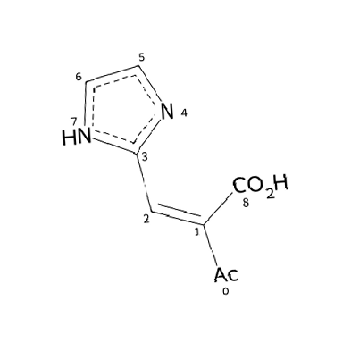 CC(=O)/C(=C/c1ncc[nH]1)C(=O)O